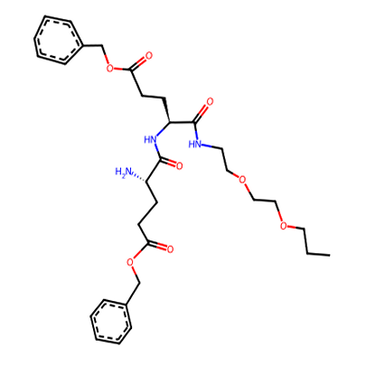 CCCOCCOCCNC(=O)[C@H](CCC(=O)OCc1ccccc1)NC(=O)[C@@H](N)CCC(=O)OCc1ccccc1